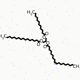 CCCCCCCC/C=C\CCCCCCCC(=O)OC(COC(=O)CCCCCCCCCCC)COC(=O)CCCCCCCCCCCCCCC